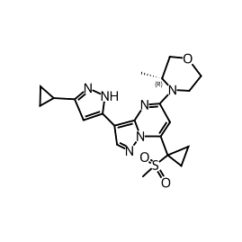 C[C@@H]1COCCN1c1cc(C2(S(C)(=O)=O)CC2)n2ncc(-c3cc(C4CC4)n[nH]3)c2n1